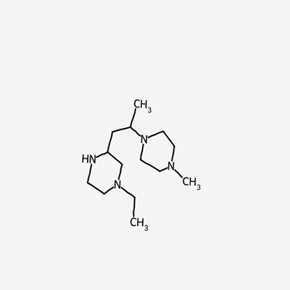 CCN1CCNC(CC(C)N2CCN(C)CC2)C1